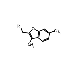 Cc1ccc2c(C)c(CC(C)C)oc2c1